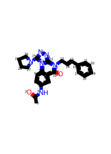 CC(=O)Nc1ccc2c(c1)c(=O)n(CC=Cc1ccccc1)c1nnc(N3CCCC3)n21